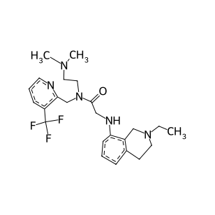 CCN1CCc2cccc(NCC(=O)N(CCN(C)C)Cc3ncccc3C(F)(F)F)c2C1